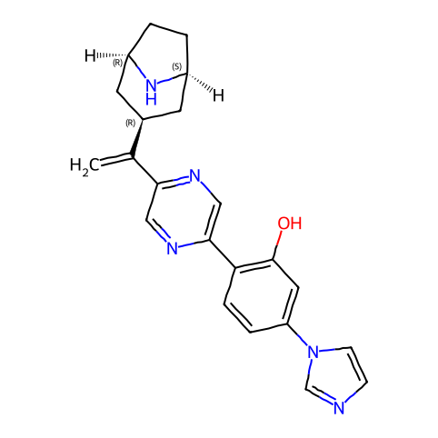 C=C(c1cnc(-c2ccc(-n3ccnc3)cc2O)cn1)[C@H]1C[C@H]2CC[C@@H](C1)N2